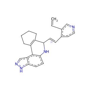 C=Cc1cnccc1/C=C/C1Nc2ccc3[nH]ncc3c2C2=C1CCCC2